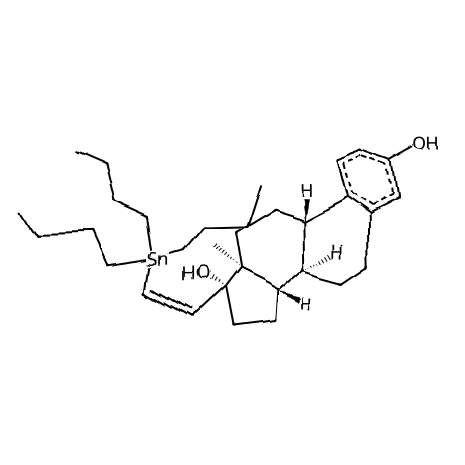 CCC[CH2][Sn](/[CH]=C\[C@]1(O)CC[C@H]2[C@@H]3CCc4cc(O)ccc4[C@H]3CC[C@@]21C)([CH2]CCC)[CH2]CCC